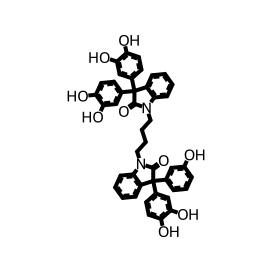 O=C1N(CCCCN2C(=O)C(c3ccc(O)c(O)c3)(c3ccc(O)c(O)c3)c3ccccc32)c2ccccc2C1(c1cccc(O)c1)c1ccc(O)c(O)c1